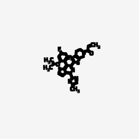 C=CC(=O)N1CCc2nc(-c3nc(-c4ncn(C)n4)c4ccsc4c3-c3c(F)cc(F)cc3OC(C)C)sc2C1